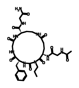 CCCN1C(=O)N[C@H](Cc2ccccc2)C(=O)NCC(=O)N[C@H](C(=O)NCC(N)=O)CCNC(=O)CC[C@H](NC(=O)CNC(C)=O)C1=O